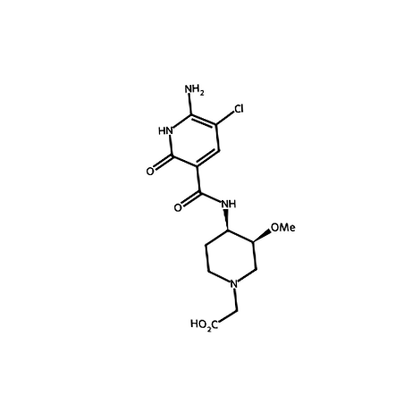 CO[C@H]1CN(CC(=O)O)CC[C@H]1NC(=O)c1cc(Cl)c(N)[nH]c1=O